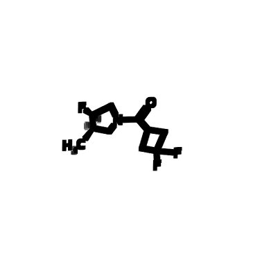 C[C@@H]1CN(C(=O)C2CC(F)(F)C2)C[C@@H]1F